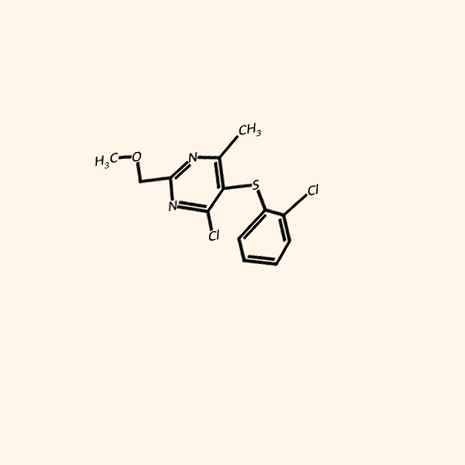 COCc1nc(C)c(Sc2ccccc2Cl)c(Cl)n1